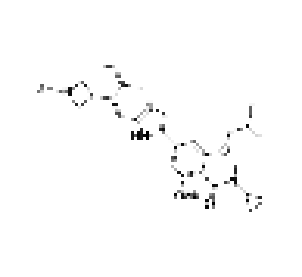 C/C=C(C)\C(=C/c1ncc(-c2cc(OC)c(C(=O)NC3CC3)c(OCC(F)F)c2)[nH]1)C1CN(C(C)=O)C1